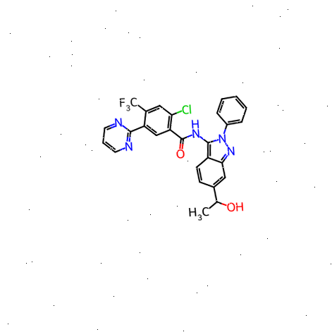 CC(O)c1ccc2c(NC(=O)c3cc(-c4ncccn4)c(C(F)(F)F)cc3Cl)n(-c3ccccc3)nc2c1